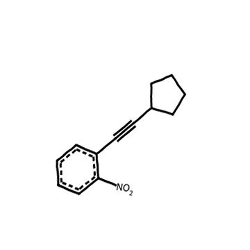 O=[N+]([O-])c1ccccc1C#CC1CCCC1